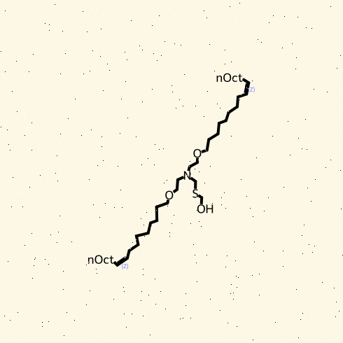 CCCCCCCC/C=C\CCCCCCCCOCCN(CCOCCCCCCCC/C=C\CCCCCCCC)CSCO